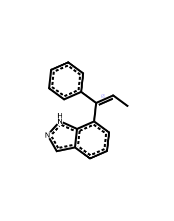 C/C=C(/c1ccccc1)c1cccc2cn[nH]c12